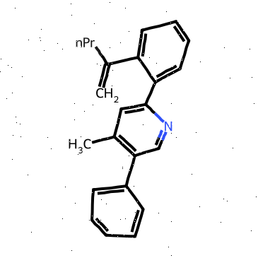 C=C(CCC)c1ccccc1-c1cc(C)c(-c2ccccc2)cn1